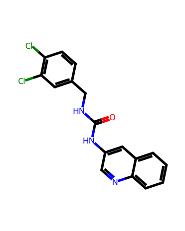 O=C(NCc1ccc(Cl)c(Cl)c1)Nc1cnc2ccccc2c1